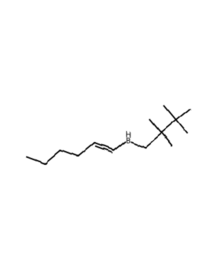 CCCC/C=C/BCC(C)(C)C(C)(C)C